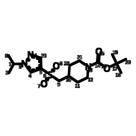 CC(C)n1cc(S(=O)(=O)CC2CCN(C(=O)OC(C)(C)C)CC2)cn1